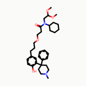 COC(CN(C(=O)CCOCCCc1ccc(O)c(C2(c3ccccc3)CCN(C)CC2)c1)C1CCCCC1)OC